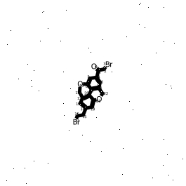 O=C(CBr)c1cc2c3c(c1)OCc1cc(CCBr)cc(c1-3)OC2